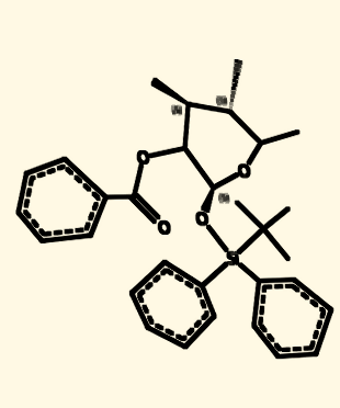 CC1O[C@@H](O[Si](c2ccccc2)(c2ccccc2)C(C)(C)C)C(OC(=O)c2ccccc2)[C@@H](C)[C@@H]1C